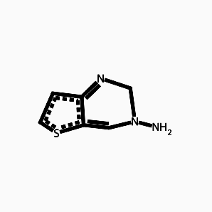 NN1C=c2sccc2=NC1